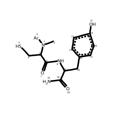 CC(=O)N(C)C(CS)C(=O)NC(Cc1ccc(O)cc1)C(N)=O